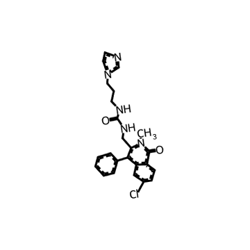 Cn1c(CNC(=O)NCCCn2ccnc2)c(-c2ccccc2)c2cc(Cl)ccc2c1=O